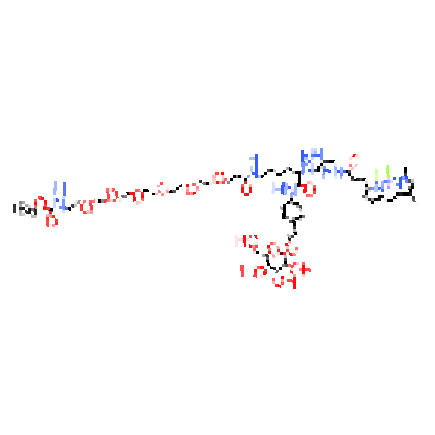 CC1=CC(C)[NH+]2C1=Cc1ccc(CCC(=O)NCc3cn(C(CCCCNC(=O)CCOCCOCCOCCOCCOCCOCCNC(=O)OC(C)(C)C)C(=O)Nc4ccc(CCO[C@@H]5O[C@H](CO)[C@@H](O)[C@H](O)[C@H]5O)cc4)nn3)n1[B-]2(F)F